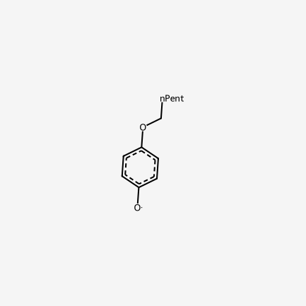 CCCCCCOc1ccc([O])cc1